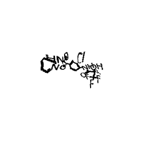 C[C@@](O)(C(=O)Nc1ccc(S(=O)(=O)Nc2ccccn2)cc1Cl)C(F)(F)F